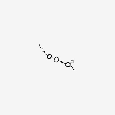 CCCCCCc1ccc([C@H]2CC[C@H](C#Cc3ccc(CCC)c(Cl)c3)CC2)cc1